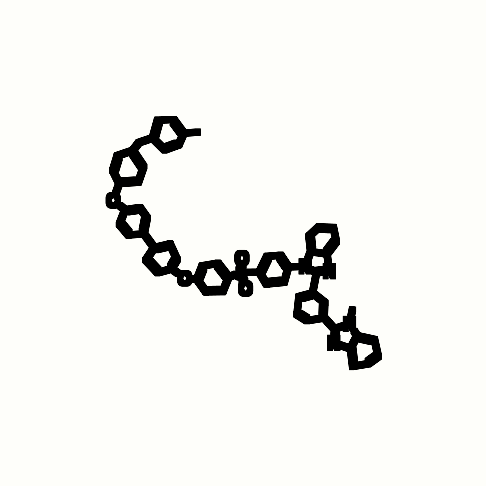 Cc1ccc(Cc2ccc(Oc3ccc(-c4ccc(Oc5ccc(S(=O)(=O)c6ccc(-n7c(-c8cccc(-c9nc%10ccccc%10n9C)c8)nc8ccccc87)cc6)cc5)cc4)cc3)cc2)cc1